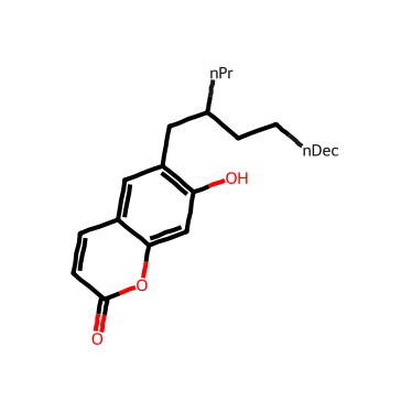 CCCCCCCCCCCCC(CCC)Cc1cc2ccc(=O)oc2cc1O